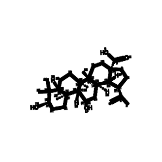 C=C(C)[C@@H]1CC[C@]2(C(=O)O)CC[C@]3(C)[C@H](C[C@@H](O)[C@@H]4[C@@]5(C)CC[C@@H](O)C(C)(C)[C@@H]5CC[C@]43C)[C@@H]12